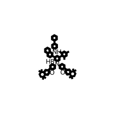 Cc1cc(C)c(-c2cc(-c3ccc4ccccc4c3Nc3ccc(-c4ccccc4)cc3)c3c(c2)N(c2ccc4c(c2)oc2cc5c(cc24)C(C)(C)CCC5(C)C)c2cc4oc5cc6c(cc5c4cc2B3)C(C)(C)CCC6(C)C)c(C)c1